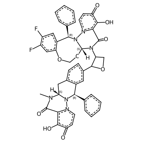 CN1C(=O)c2c(O)c(=O)ccn2N2[C@H](c3ccccc3)c3cc(C4OCC4N4C(=O)c5c(O)c(=O)ccn5N5[C@H](c6ccccc6)c6cc(F)c(F)cc6OCC[C@@H]45)ccc3C[C@@H]12